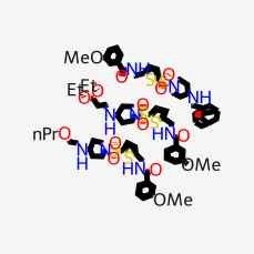 CCCOCCNC1CCN(S(=O)(=O)c2ccc(CNC(=O)c3cccc(OC)c3)s2)CC1.CCOC(CCNC1CCN(S(=O)(=O)c2ccc(CNC(=O)c3cccc(OC)c3)s2)CC1)OCC.COc1cccc(C(=O)NCc2ccc(S(=O)(=O)N3CCC(NCC45CC6CC(CC(C6)C4)C5)CC3)s2)c1